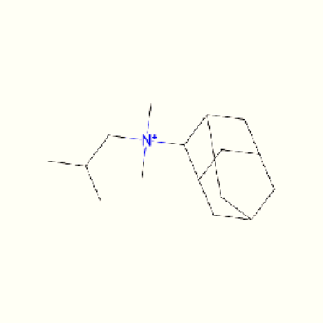 CC(C)C[N+](C)(C)C1C2CC3CC(C2)CC1C3